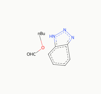 CCCCOC=O.c1ccc2[nH]nnc2c1